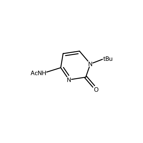 CC(=O)Nc1ccn(C(C)(C)C)c(=O)n1